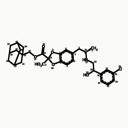 C[C@H](Cc1ccc2c(c1)OC(C(=O)O)(C(=O)OCC13CC4CC(CC(C4)C1)C3)O2)NCC(O)c1cccc(Cl)c1